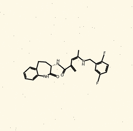 C=C(/C=C(/C)NCc1cc(F)ccc1F)C(=O)N[C@H]1CCc2ccccc2NC1=O